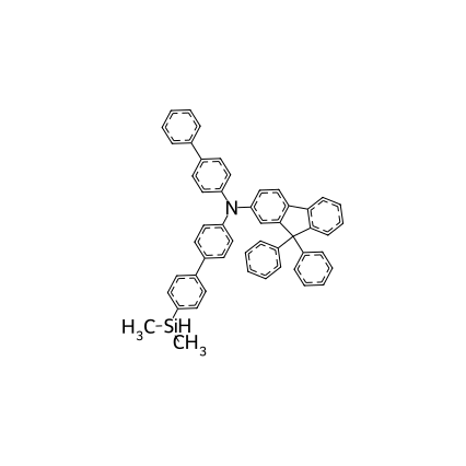 C[SiH](C)c1ccc(-c2ccc(N(c3ccc(-c4ccccc4)cc3)c3ccc4c(c3)C(c3ccccc3)(c3ccccc3)c3ccccc3-4)cc2)cc1